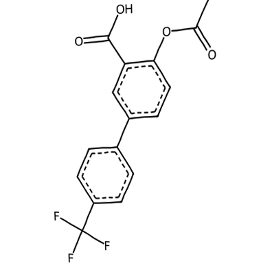 CC(=O)Oc1ccc(-c2ccc(C(F)(F)F)cc2)cc1C(=O)O